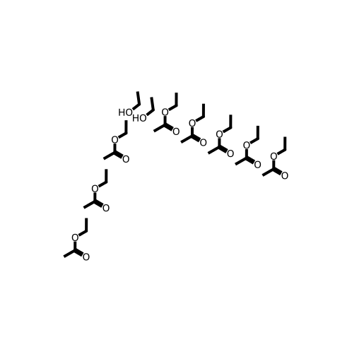 CCO.CCO.CCOC(C)=O.CCOC(C)=O.CCOC(C)=O.CCOC(C)=O.CCOC(C)=O.CCOC(C)=O.CCOC(C)=O.CCOC(C)=O